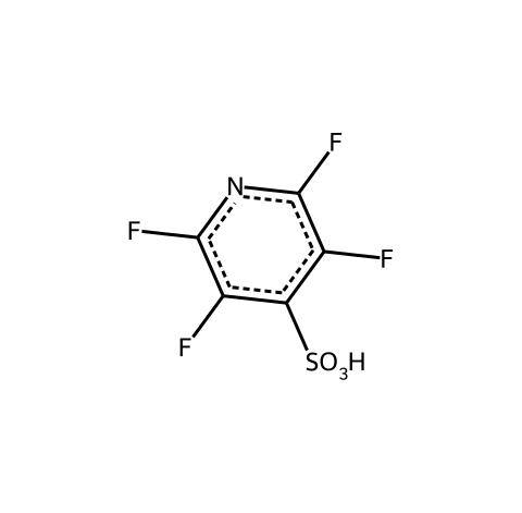 O=S(=O)(O)c1c(F)c(F)nc(F)c1F